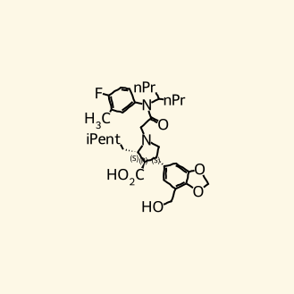 CCCC(C)C[C@H]1[C@H](C(=O)O)[C@@H](c2cc(CO)c3c(c2)OCO3)CN1CC(=O)N(c1ccc(F)c(C)c1)C(CCC)CCC